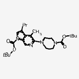 Cc1c(N2CCN(C(=O)OC(C)(C)C)CC2)ncc2c1c(C(C)C)cn2C(=O)OC(C)(C)C